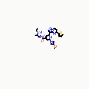 CCNC(C)CNC(=O)c1cc(-c2cnn3ccc(-c4cccs4)nc23)nc(N2CC(OC)C2)c1